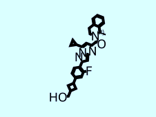 C[C@@H]1c2ccccc2CCN1C(=O)c1cc(C2CC2)n2nc(-c3ccc(C4CC(CO)C4)cc3F)cc2n1